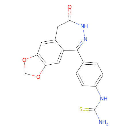 NC(=S)Nc1ccc(C2=NNC(=O)Cc3cc4c(cc32)OCO4)cc1